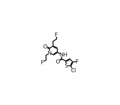 O=C(Nc1cc(CCF)c(=O)n(CCF)c1)c1cc(F)c(Cl)s1